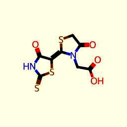 O=C(O)CN1C(=O)CS/C1=C1/SC(=S)NC1=O